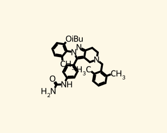 Cc1cccc(C)c1CN1CCc2nn(-c3c(C)cccc3OCC(C)C)c(-c3ccc(NC(N)=O)cc3)c2C1